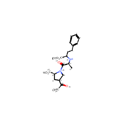 CCOC(=O)C(CCc1ccccc1)N[C@@H](C)C(=O)N1CC(C(=O)C=O)C[C@H]1C(=O)O